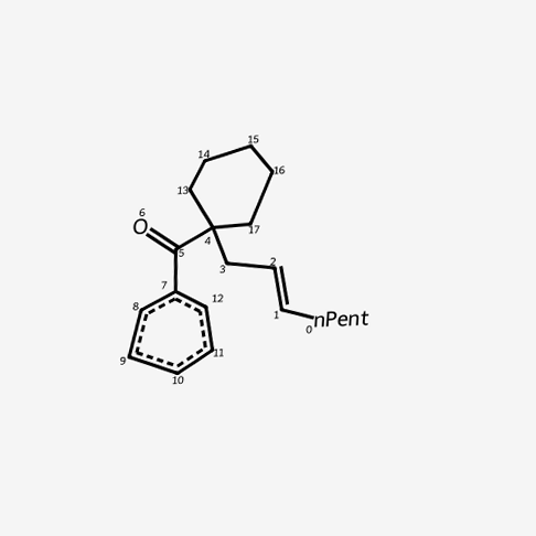 CCCCC/C=C/CC1(C(=O)c2ccccc2)CCCCC1